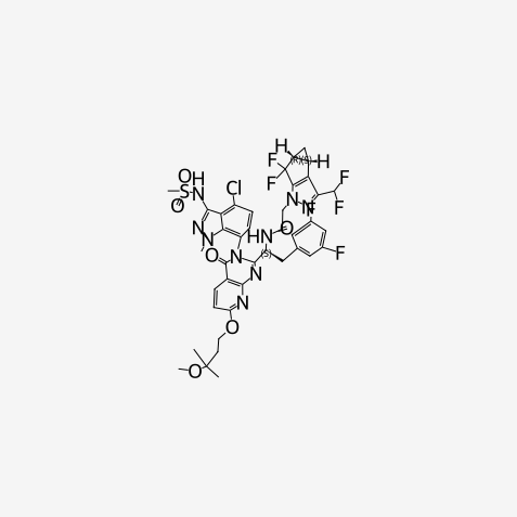 COC(C)(C)CCOc1ccc2c(=O)n(-c3ccc(Cl)c4c(NS(C)(=O)=O)nn(C)c34)c([C@H](Cc3cc(F)cc(F)c3)NC(=O)Cn3nc(C(F)F)c4c3C(F)(F)[C@@H]3C[C@H]43)nc2n1